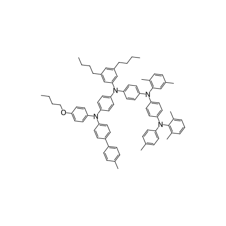 CCCCOc1ccc(N(c2ccc(-c3ccc(C)cc3)cc2)c2ccc(N(c3ccc(N(c4ccc(N(c5ccc(C)cc5)c5c(C)cccc5C)cc4)c4cc(C)ccc4C)cc3)c3cc(CCCC)cc(CCCC)c3)cc2)cc1